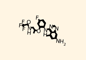 Cc1cc(N)cc2ncnc(Nc3ccc(F)cc3OC(C)CNC(=O)C(F)(F)F)c12